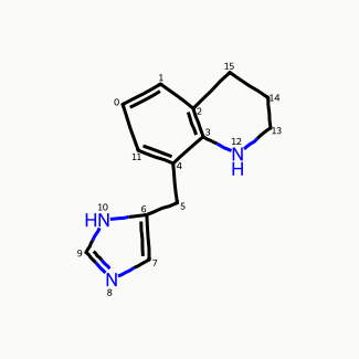 c1cc2c(c(Cc3cnc[nH]3)c1)NCCC2